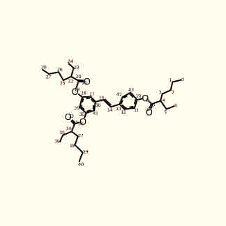 CCCCC(CC)C(=O)Oc1ccc(C=Cc2cc(OC(=O)C(CC)CCCC)cc(OC(=O)C(CC)CCCC)c2)cc1